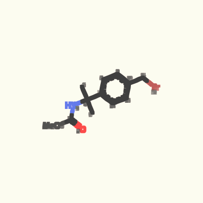 COC(=O)NC(C)(C)c1ccc(CBr)cc1